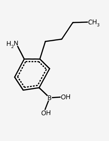 CCCCc1cc(B(O)O)ccc1N